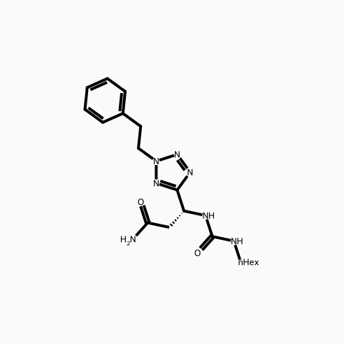 CCCCCCNC(=O)N[C@H](CC(N)=O)c1nnn(CCc2ccccc2)n1